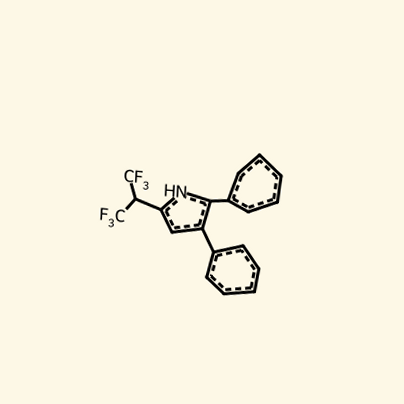 FC(F)(F)C(c1cc(-c2ccccc2)c(-c2ccccc2)[nH]1)C(F)(F)F